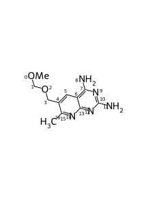 COCOCc1cc2c(N)nc(N)nc2nc1C